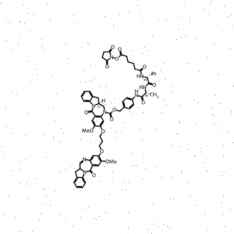 COc1cc2c(cc1OCCCOc1cc3c(cc1OC)C(=O)N1c4ccccc4C[C@H]1CN3C(=O)OCc1ccc(NC(=O)[C@@H](C)NC(=O)[C@H](NC(=O)CCCCC(=O)ON3C(=O)CCC3=O)C(C)C)cc1)N=CC1Cc3ccccc3N1C2=O